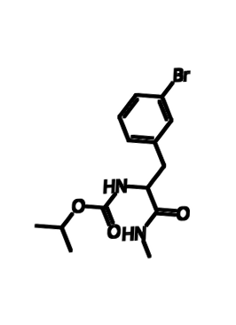 CNC(=O)C(Cc1cccc(Br)c1)NC(=O)OC(C)C